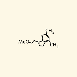 COCCN1CCc2c(C)cc(C)cc21